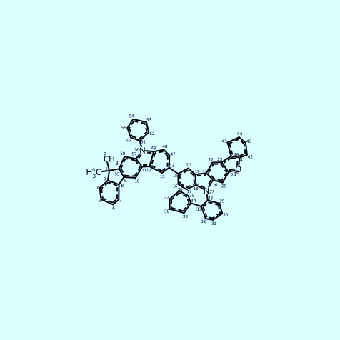 CC1(C)c2ccccc2-c2cc3c4cc(-c5ccc6c(c5)c5cc7c(cc5n6-c5ccccc5-c5ccccc5)oc5ccccc57)ccc4n(-c4ccccc4)c3cc21